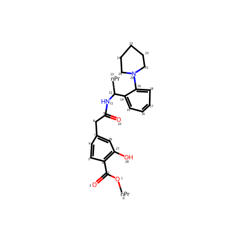 CCCOC(=O)c1ccc(CC(=O)NC(CCC)c2ccccc2N2CCCCC2)cc1O